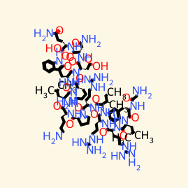 CC[C@H](C)[C@H](NC(=O)[C@H](CCCNC(=N)N)NC(=O)[C@H](CCCNC(=N)N)NC(=O)[C@H](CC(C)C)NC(=O)[C@H](Cc1ccccc1)NC(=O)CN)C(=O)N[C@@H](CCCNC(=N)N)C(=O)N1CCC[C@H]1C(=O)N[C@@H](CCCCN)C(=O)N[C@@H](CC(C)C)C(=O)N[C@@H](CCCCN)C(=O)N[C@@H](Cc1c[nH]c2ccccc12)C(=O)N[C@@H](CC(=O)O)C(=O)N[C@@H](CC(N)=O)C(=O)N[C@@H](CCC(N)=O)C(=O)O